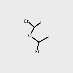 CCC(I)OC(I)CC